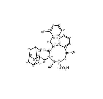 CC(=O)N1[C@@H](C(=O)O)CC(=O)c2ccccc2N(Cc2ccccc2F)C(=O)[C@@H]1CC12CC3CC(CC(C3)C1)C2